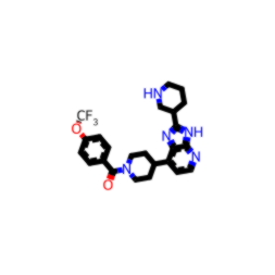 O=C(c1ccc(OC(F)(F)F)cc1)N1CCC(c2ccnc3[nH]c(C4CCCNC4)nc23)CC1